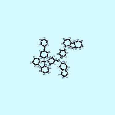 c1ccc(-c2ccc(C3(c4ccc(N(c5ccc(-c6cccc7c6sc6ccccc67)cc5)c5ccc6ccccc6c5)cc4)c4ccccc4-c4ccccc43)cc2)cc1